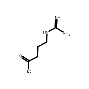 CCC(=O)CCCNC(=N)N